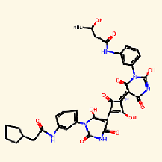 CCCCC(O)CC(=O)Nc1cccc(N2C(=O)/C(=C3\C(=O)C(c4c(O)n(-c5cccc(NC(=O)CC6CCCC6)c5)c(=O)[nH]c4=O)=C3O)C(=O)N=C2O)c1